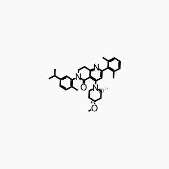 CO[C@@H]1CCN(c2cc(-c3c(C)cccc3C)nc3c2C(=O)N(c2cc(C(C)C)ccc2C)CC3)[C@H](C)C1